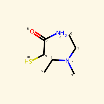 CCN(C)CC.NC(=O)CS